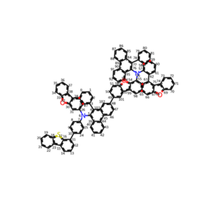 c1ccc(-c2c(N(c3ccc(-c4cccc5c4sc4ccccc45)cc3)c3ccc4c(c3)oc3ccccc34)c3ccccc3c3ccc(-c4ccc5oc6c(N(c7ccccc7-c7cccc8oc9ccccc9c78)c7c(-c8ccccc8)c8ccccc8c8ccccc78)cccc6c5c4)cc23)cc1